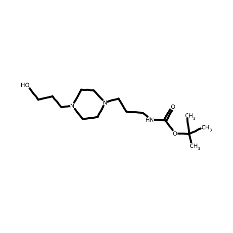 CC(C)(C)OC(=O)NCCCN1CCN(CCCO)CC1